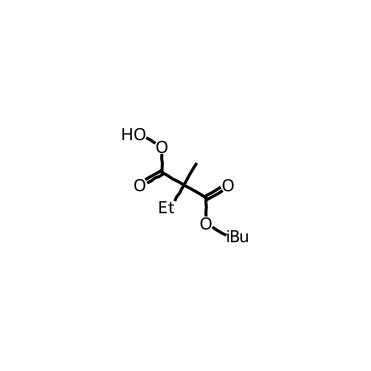 CCC(C)OC(=O)C(C)(CC)C(=O)OO